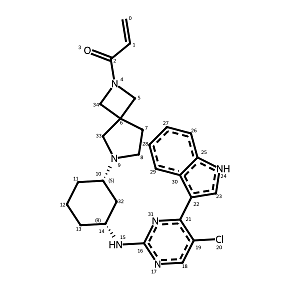 C=CC(=O)N1CC2(CCN([C@H]3CCC[C@@H](Nc4ncc(Cl)c(-c5c[nH]c6ccccc56)n4)C3)C2)C1